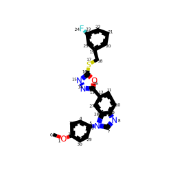 COc1ccc(-n2cnc3ccc(-c4nnc(SCc5cccc(F)c5)o4)cc32)cc1